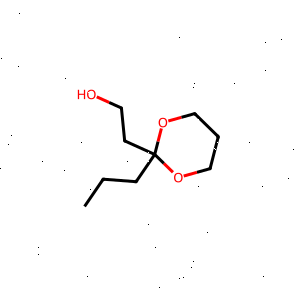 CCCC1(CCO)OCCCO1